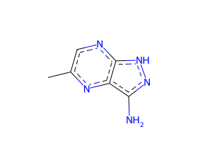 Cc1cnc2[nH]nc(N)c2n1